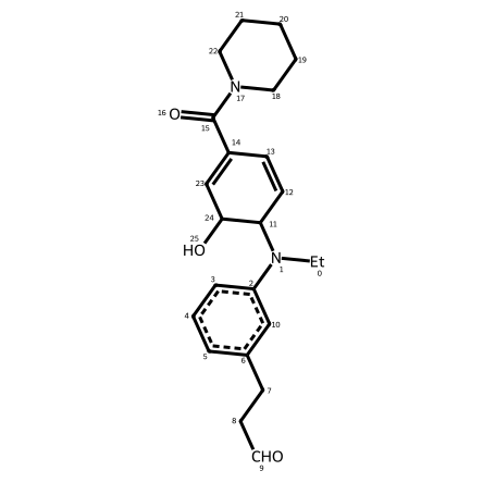 CCN(c1cccc(CCC=O)c1)C1C=CC(C(=O)N2CCCCC2)=CC1O